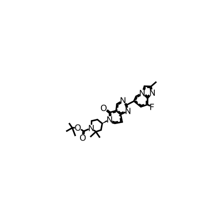 Cc1cn2cc(-c3ncc4c(=O)n([C@@H]5CCN(C(=O)OC(C)(C)C)C(C)(C)C5)ccc4n3)cc(F)c2n1